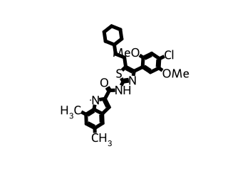 COc1cc(-c2nc(NC(=O)C3=Cc4cc(C)cc(C)c4[N]3)sc2CCC2CCCCC2)c(OC)cc1Cl